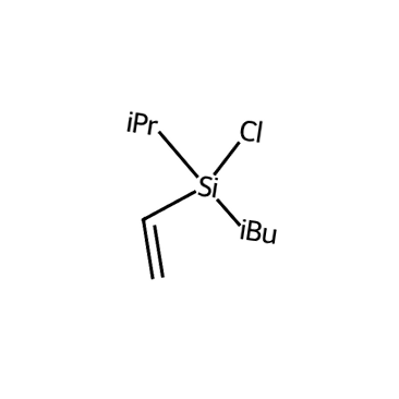 C=C[Si](Cl)(C(C)C)C(C)CC